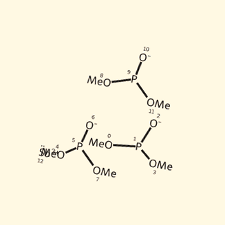 COP([O-])OC.COP([O-])OC.COP([O-])OC.[Sb+3]